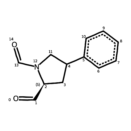 O=C[C@@H]1CC(c2ccccc2)CN1C=O